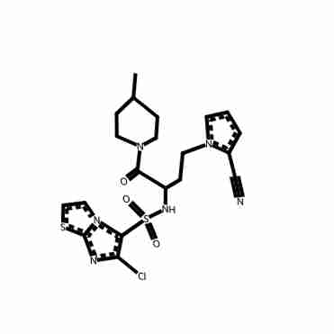 CC1CCN(C(=O)C(CCn2cccc2C#N)NS(=O)(=O)c2c(Cl)nc3sccn23)CC1